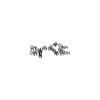 CCc1cccc2cc(O)cc(-c3ncc4c(N5CC6CCC(C5)N6)nc(OC[C@]56CCCN5[C@H](COC(=O)N5CCN(c7cc([C@@H](C(=O)N8C[C@H](O)C[C@H]8C(=O)N[C@@H](C)c8ccc(-c9scnc9C)cc8)C(C)C)on7)[C@@H](C)C5)CC6)nc4c3F)c12